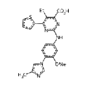 CCc1c(C(=O)O)nc(Nc2ccc(-n3cnc(C)c3)c(OC)c2)nc1-c1cccs1